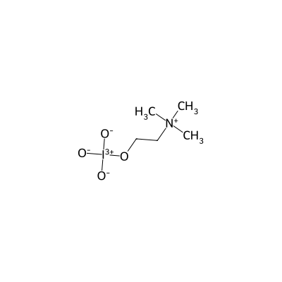 C[N+](C)(C)CCO[I+3]([O-])([O-])[O-]